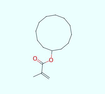 C=C(C)C(=O)OC1CCCCCCCCCCC1